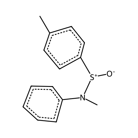 Cc1ccc([S+]([O-])N(C)c2ccccc2)cc1